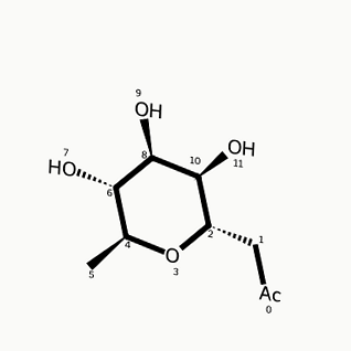 CC(=O)C[C@@H]1O[C@@H](C)[C@H](O)[C@@H](O)[C@H]1O